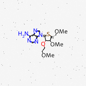 COCCOC1C(OC)[C@@H](COC)S[C@H]1n1cnc2c(N)ncnc21